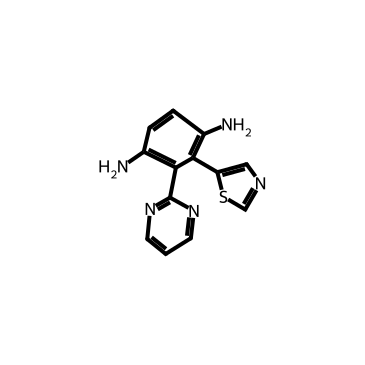 Nc1ccc(N)c(-c2cncs2)c1-c1ncccn1